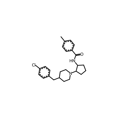 Cc1ccc(C(=O)NC2CCCC2N2CCC(Cc3ccc(Cl)cc3)CC2)cc1